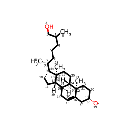 CC(CO)CCC[C@@H](C)[C@H]1CC[C@H]2[C@@H]3CC=C4C[C@@H]([O])CC[C@]4(C)[C@H]3CC[C@]12C